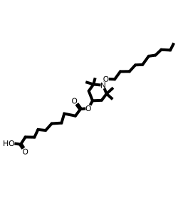 CCCCCCCCCCON1C(C)(C)CC(OC(=O)CCCCCCCCC(=O)O)CC1(C)C